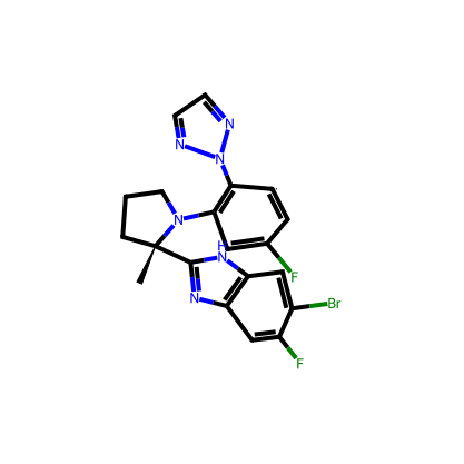 C[C@@]1(c2nc3cc(F)c(Br)cc3[nH]2)CCCN1c1cc(F)c[c]c1-n1nccn1